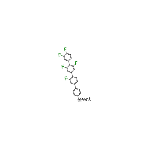 CCCCCc1ccc(-c2ccc(-c3cc(F)c(-c4ccc(F)c(F)c4)c(F)c3)c(F)c2)cc1